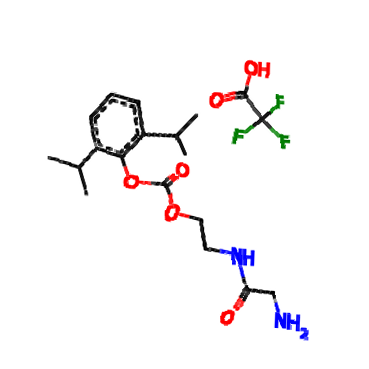 CC(C)c1cccc(C(C)C)c1OC(=O)OCCNC(=O)CN.O=C(O)C(F)(F)F